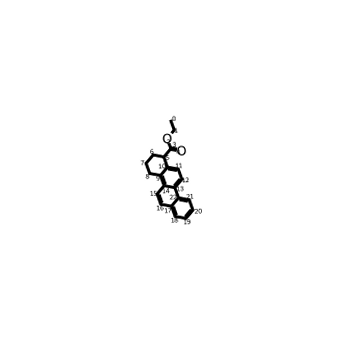 CCOC(=O)C1CCCc2c1ccc1c2ccc2ccccc21